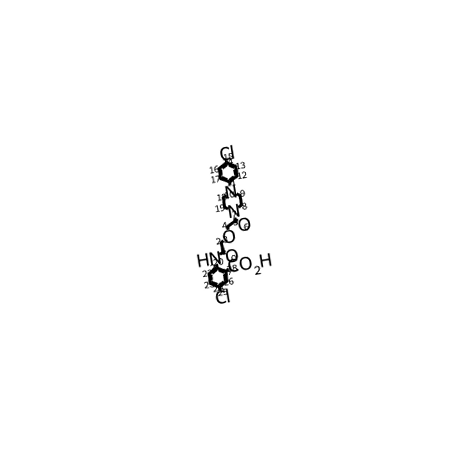 O=C(COCC(=O)N1CCN(c2ccc(Cl)cc2)CC1)Nc1ccc(Cl)cc1C(=O)O